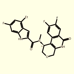 CCc1cc(F)cc2[nH]c(C(=O)N(C)[C@@H]3COCc4[nH]c(=O)c5cc(F)c(F)cc5c43)cc12